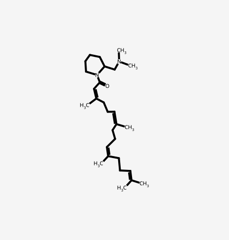 CC(C)=CCCC(C)=CCCC(C)=CCCC(C)=CC(=O)N1CCCCC1CN(C)C